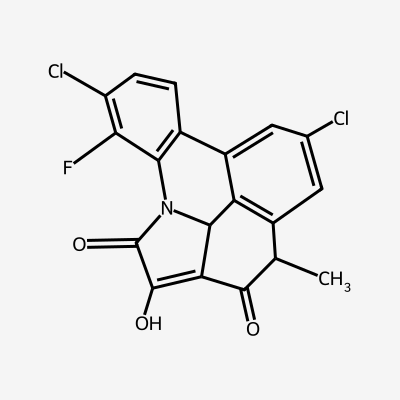 CC1C(=O)C2=C(O)C(=O)N3c4c(ccc(Cl)c4F)-c4cc(Cl)cc1c4C23